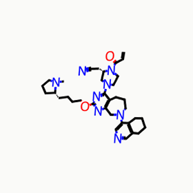 C=CC(=O)N1CCN(c2nc(OCCCC[C@@H]3CCCN3C)nc3c2CCCN(c2cncc4c2CCCC4)C3)C[C@@H]1CC#N